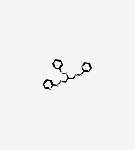 c1ccc(SSCC(CSSc2ccccn2)SSc2ccccn2)nc1